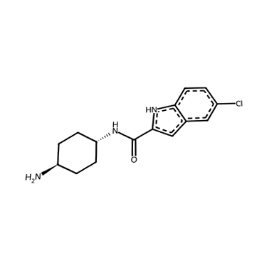 N[C@H]1CC[C@H](NC(=O)c2cc3cc(Cl)ccc3[nH]2)CC1